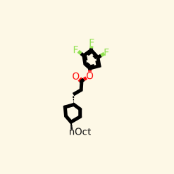 CCCCCCCC[C@H]1CC[C@H](CCC(=O)Oc2cc(F)c(F)c(F)c2)CC1